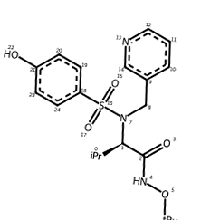 CC(C)[C@H](C(=O)NOC(C)(C)C)N(Cc1cccnc1)S(=O)(=O)c1ccc(O)cc1